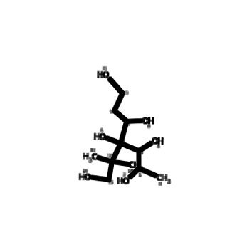 CC(O)C(O)C(O)(C(O)CCO)C(C)(C)CO